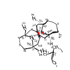 CC(=O)O.N[C@H]1C[C@H]2CCC[C@@H](C1)N2[C@H]1C[C@@H]2CCC[C@@H](C2)C1